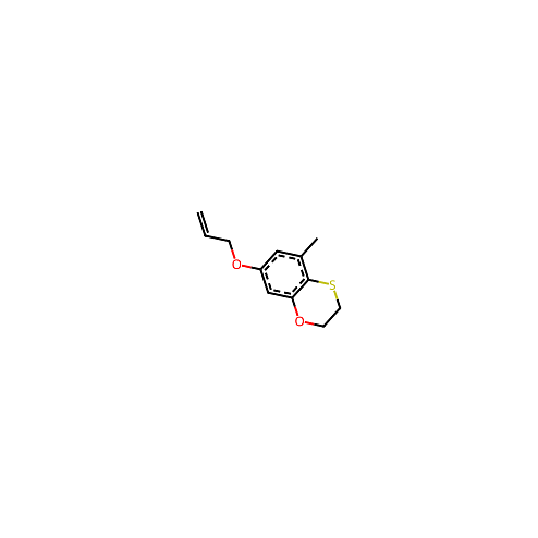 C=CCOc1cc(C)c2c(c1)OCCS2